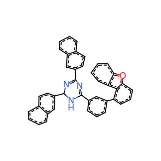 c1cc(C2=NC(c3ccc4ccccc4c3)=NC(c3ccc4ccccc4c3)N2)cc(-c2cccc3oc4ccccc4c23)c1